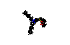 c1ccc(-c2ccc(-c3ccc(N(c4ccc(-c5ccc(-c6ccccc6)cc5)cc4)c4ccc(-c5ccc(-c6cccc7c6oc6ccccc67)s5)cc4)cc3)cc2)cc1